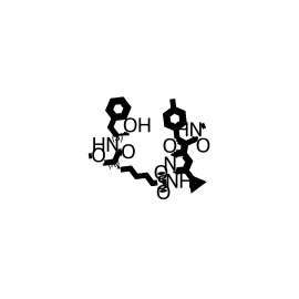 CNC(=O)c1c(-c2ccc(C)cc2)oc2nc(NS(=O)(=O)CCCCC[C@H](COC)C(=O)N[C@H](CO)Cc3ccccc3)c(C3CC3)cc12